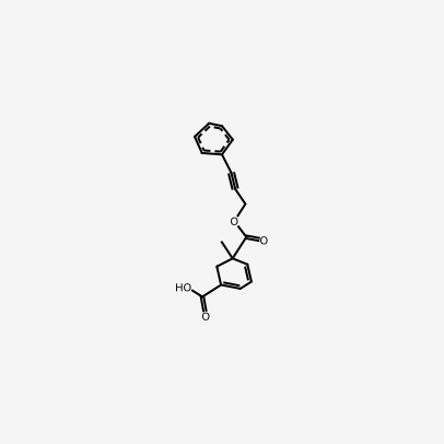 CC1(C(=O)OCC#Cc2ccccc2)C=CC=C(C(=O)O)C1